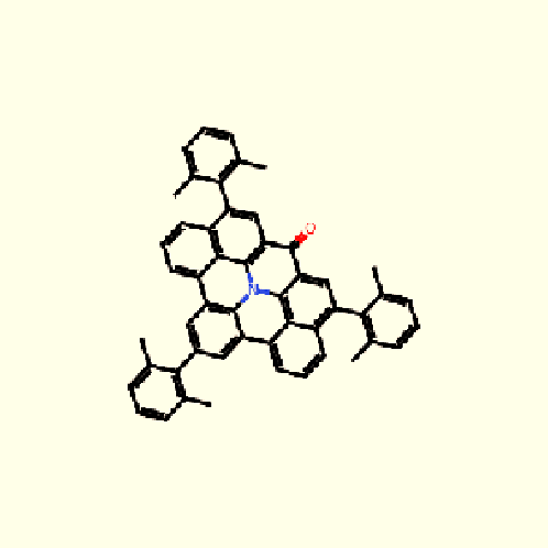 Cc1cccc(C)c1-c1cc2c3cccc4c(-c5c(C)cccc5C)cc5c(=O)c6cc(-c7c(C)cccc7C)c7cccc8c(c1)c2n(c5c43)c6c78